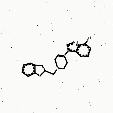 Clc1cccc2c(C3=CCN(CC4Cc5ccccc5C4)CC3)c[nH]c12